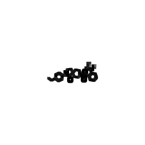 CCc1ccc(N2CCC3(CCN(S(=O)(=O)c4ccccc4C(F)(F)F)CC3)C2=O)cc1